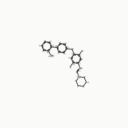 Cc1cc(/N=C/N2CCCCC2)c(C)cc1Cc1ccc(-c2ccccc2C(C)C)cc1